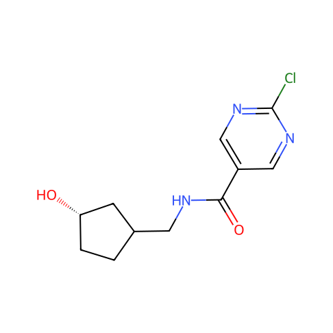 O=C(NCC1CC[C@H](O)C1)c1cnc(Cl)nc1